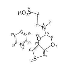 CN(CCS(=O)(=O)O)C1COc2cscc2O1.c1ccncc1